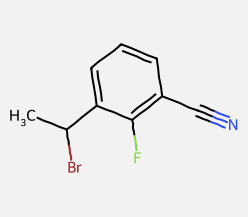 CC(Br)c1cccc(C#N)c1F